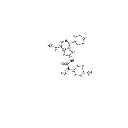 COc1ccc(N2CCOCC2)c2sc(NC(=O)N(C)[C@H]3CC[C@@H](O)CC3)nc12